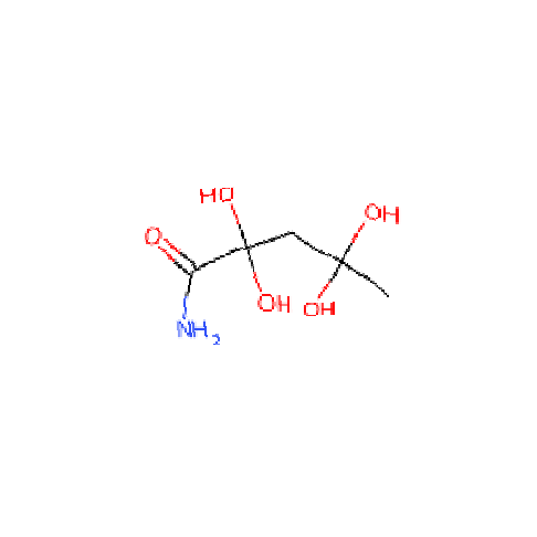 CC(O)(O)CC(O)(O)C(N)=O